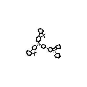 CC1(C)C2=CC(N(c3ccc(-c4ccc5c(c4)c4ccccc4n5-c4ccccc4)cc3)c3ccc4c(c3)C(C)(C)c3ccccc3-4)CC=C2c2ccccc21